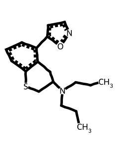 CCCN(CCC)C1CSc2cccc(-c3ccno3)c2C1